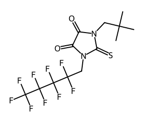 CC(C)(C)CN1C(=O)C(=O)N(CC(F)(F)C(F)(F)C(F)(F)C(F)(F)F)C1=S